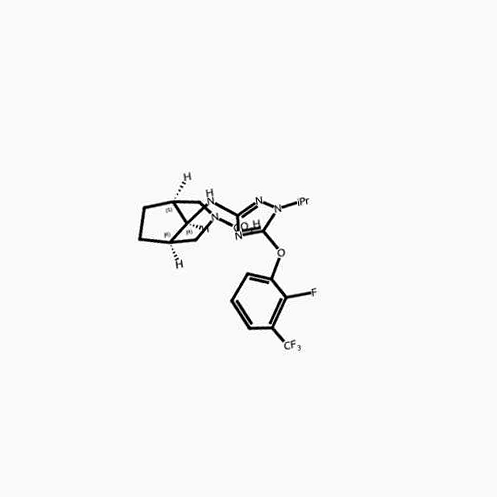 CC(C)n1nc(N[C@H]2[C@@H]3CC[C@H]2CN(C(=O)O)C3)nc1Oc1cccc(C(F)(F)F)c1F